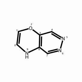 C1=COc2cnncc2N1